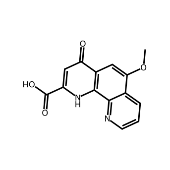 COc1cc2c(=O)cc(C(=O)O)[nH]c2c2ncccc12